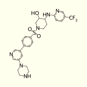 O=S(=O)(c1ccc(-c2cncc(N3CCNCC3)c2)cc1)N1CCC(Nc2ccc(C(F)(F)F)cn2)C(O)C1